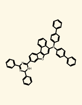 c1ccc(C2=NC(c3ccccc3)NC(c3ccc4c(c3)oc3cc(N(c5ccc(-c6ccccc6)cc5)c5ccc(-c6ccccc6)cc5)c5ccccc5c34)=N2)cc1